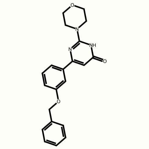 O=c1cc(-c2cccc(OCc3ccccc3)c2)nc(N2CCOCC2)[nH]1